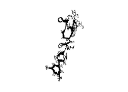 CC1(C)OC(=O)N2CC[C@H](CC(=O)Nc3cnc(-c4cc(F)cc(F)c4)cn3)C[C@@H]21